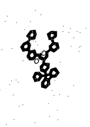 c1ccc(-c2cccc(-c3ccc4oc5c(-c6ccc(C7(c8ccccc8)c8ccccc8-c8ccccc87)cc6)cc(-c6cccc(-c7ccccc7)c6)cc5c4c3)c2)cc1